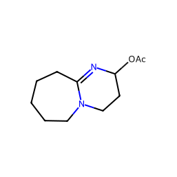 CC(=O)OC1CCN2CCCCCC2=N1